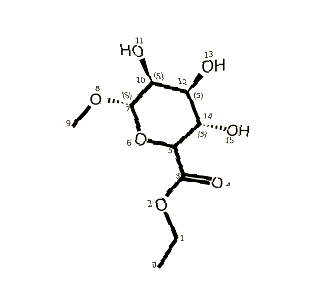 CCOC(=O)C1O[C@H](OC)[C@@H](O)[C@@H](O)[C@@H]1O